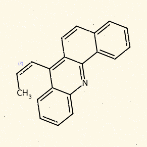 C/C=C\c1c2ccccc2nc2c1ccc1ccccc12